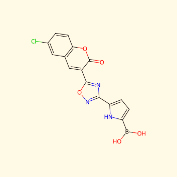 O=c1oc2ccc(Cl)cc2cc1-c1nc(-c2ccc(B(O)O)[nH]2)no1